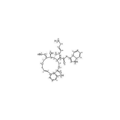 CCCCO[C@@H]1COC/C=C/c2cccc(O)c2C(=O)OC[C@H](NC(=O)CC2=CNC3C=CC=CC23)[C@@H](OC/C=C/CN)[C@@H]1O